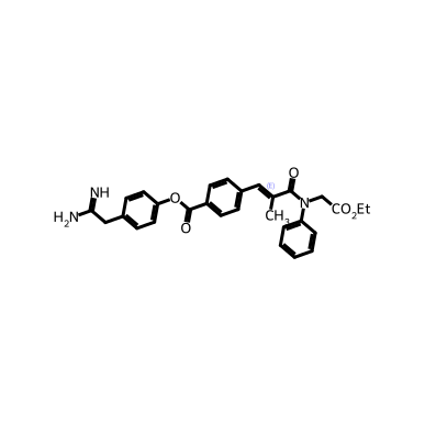 CCOC(=O)CN(C(=O)/C(C)=C/c1ccc(C(=O)Oc2ccc(CC(=N)N)cc2)cc1)c1ccccc1